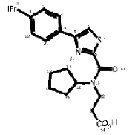 CC(C)c1ccc(-c2csc(C(=O)N(CCC(=O)O)C3CCCC3)n2)cc1